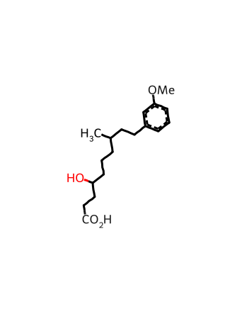 COc1cccc(CCC(C)CCCC(O)CCC(=O)O)c1